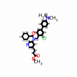 COC(=O)/C=C/c1cncc(N(Cc2ccc(-c3ccc(N(C)C)cc3)cc2Cl)C(=O)C2CCCCC2)c1